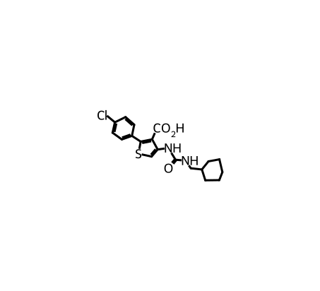 O=C(NCC1CCCCC1)Nc1csc(-c2ccc(Cl)cc2)c1C(=O)O